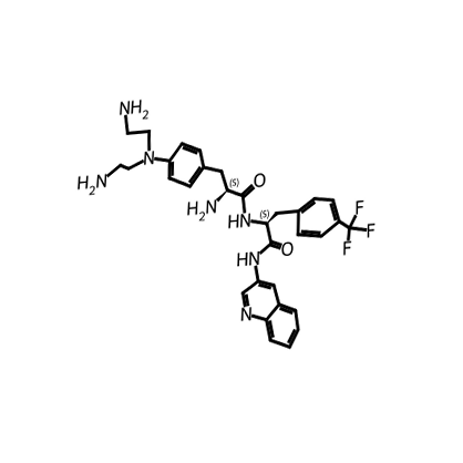 NCCN(CCN)c1ccc(C[C@H](N)C(=O)N[C@@H](Cc2ccc(C(F)(F)F)cc2)C(=O)Nc2cnc3ccccc3c2)cc1